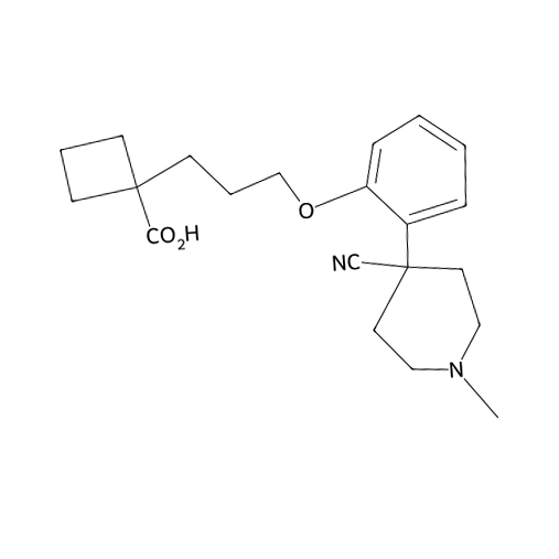 CN1CCC(C#N)(c2ccccc2OCCCC2(C(=O)O)CCC2)CC1